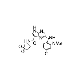 CNc1cc(Cl)ccc1C(=N)c1cnc2[nH]cc(C(=O)NC3CCS(=O)(=O)C3)c2n1